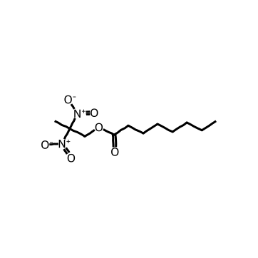 CCCCCCCC(=O)OCC(C)([N+](=O)[O-])[N+](=O)[O-]